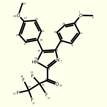 COc1ccc(-c2nc(C(=O)C(F)(F)C(F)(F)F)[nH]c2-c2ccc(OC)cc2)cc1